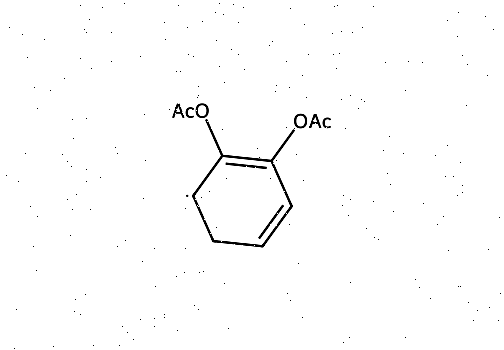 CC(=O)OC1=C(OC(C)=O)C=CC[CH]1